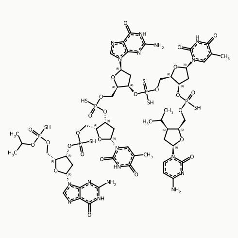 Cc1cn([C@H]2C[C@@H](OP(=O)(S)OC[C@H]3O[C@@H](n4cnc5c(=O)[nH]c(N)nc54)C[C@H]3OP(=S)(S)OC[C@H]3O[C@@H](n4cc(C)c(=O)[nH]c4=O)C[C@H]3OP(=O)(S)OC[C@H]3O[C@@H](n4ccc(N)nc4=O)C[C@H]3C(C)C)[C@@H](COP(=O)(S)O[C@@H]3C[C@H](n4cnc5c(=O)[nH]c(N)nc54)O[C@@H]3COP(=O)(S)OC(C)C)O2)c(=O)[nH]c1=O